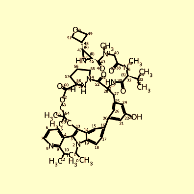 CCn1c(-c2cccnc2C(C)C)c2c3cc(ccc31)-c1cc(O)cc(c1)C[C@H](NC(=O)[C@H](C(C)C)N(C)C(=O)CN(C)C(=O)[C@@H]1N[C@@H]1C1COC1)C(=O)N1CCC[C@H](N1)C(=O)OCC(C)(C)C2